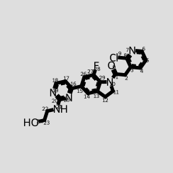 O=C(Cc1cccnc1Cl)N1CCc2cc(-c3ccnc(NCCO)n3)cc(F)c21